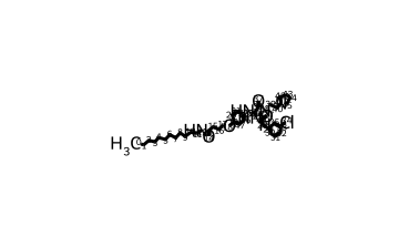 CCCCCCCCCCCCNC(=O)CCCOc1ccc(NC(NC(=O)Cc2cccc(Cl)c2)C(=O)NCCN2CCCC2)cc1